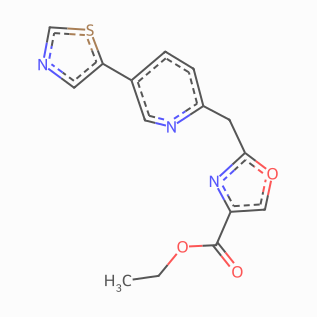 CCOC(=O)c1coc(Cc2ccc(-c3cncs3)cn2)n1